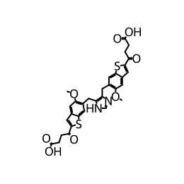 COc1cc2cc(C(=O)CCC(=O)O)sc2cc1Cc1nc[nH]c1Cc1cc2sc(C(=O)CCC(=O)O)cc2cc1OC